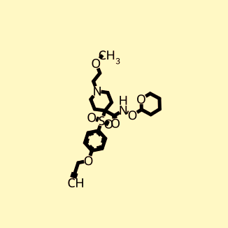 C#CCOc1ccc(S(=O)(=O)C2(C(=O)NOC3CCCCO3)CCN(CCOC)CC2)cc1